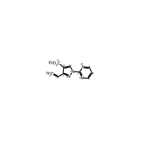 C=Cc1nn(-c2ncccn2)cc1C(=O)OCC